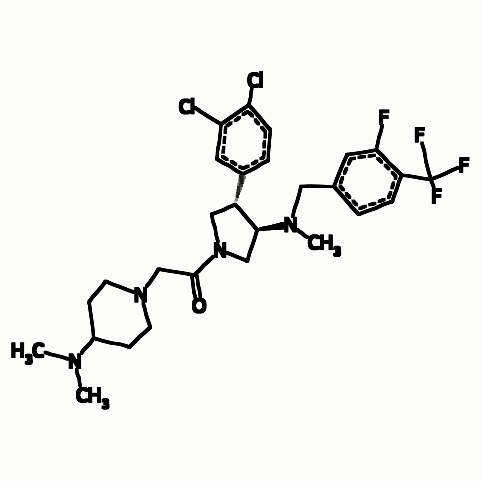 CN(C)C1CCN(CC(=O)N2C[C@H](c3ccc(Cl)c(Cl)c3)[C@@H](N(C)Cc3ccc(C(F)(F)F)c(F)c3)C2)CC1